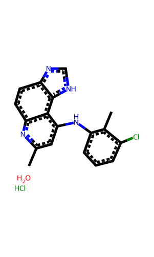 Cc1cc(Nc2cccc(Cl)c2C)c2c(ccc3nc[nH]c32)n1.Cl.O